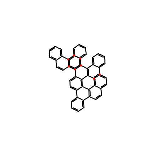 c1ccc2c(-c3c(-c4c(-c5cccc6c5ccc5ccccc56)ccc5c6ccccc6c6ccc7ccccc7c6c45)ccc4ccccc34)cccc2c1